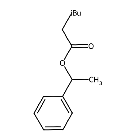 CCC(C)CC(=O)OC(C)c1ccccc1